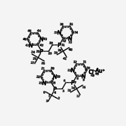 CC(C)(C)P(CCP(c1ncccn1)C(C)(C)C)c1ncccn1.CC(C)(C)P(CCP(c1ncccn1)C(C)(C)C)c1ncccn1.[Au+].[Cl-]